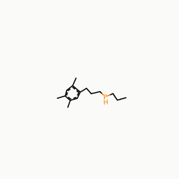 CCCPCCCc1cc(C)c(C)cc1C